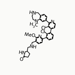 COc1nc(-c2cccc(-c3ccnc(-c4ccc5c(c4)N(C)CCNC5)c3Cl)c2Cl)ccc1CNCC1CCC(=O)N1